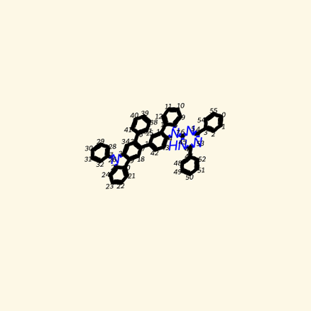 c1ccc(C2=NC(n3c4ccccc4c4cc(-c5cc6c7ccccc7n(-c7ccccc7)c6cc5-c5ccccc5)ccc43)NC(c3ccccc3)=N2)cc1